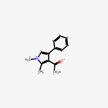 Cc1c(C(=O)C(=O)O)c(-c2ccccc2)cn1C